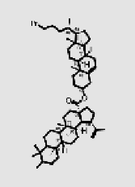 C=C(C)[C@@H]1CC[C@]2(C(=O)O[C@H]3CC[C@@]4(C)C(=CC[C@H]5[C@@H]6CC[C@H]([C@H](C)CCCC(C)C)[C@@]6(C)CC[C@@H]54)C3)CC[C@]3(C)[C@H](CC[C@@H]4[C@@]5(C)CCC(C)C(C)(C)C5CC[C@]43C)C12